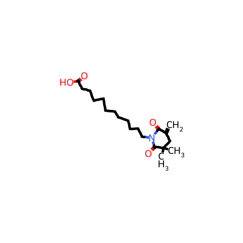 C=C1CC(C)(C)C(=O)N(CCCCCCCCCCCC(=O)O)C1=O